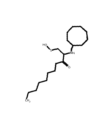 CCCCCCCCC(=O)C(CSO)NC1CCCCCCC1